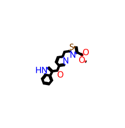 COC(=O)c1csc(Cc2ccc(C(=O)c3c[nH]c4ccccc34)cn2)n1